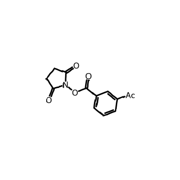 CC(=O)c1cccc(C(=O)ON2C(=O)CCC2=O)c1